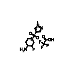 Cn1cc(S(=O)(=O)N2CC[C@H](N)[C@H](F)C2)cn1.O=C(O)C(F)(F)F